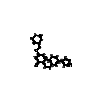 O=c1nc(OCC2COCCO2)cc2n1CCc1cc(-c3cn[nH]c3)ccc1-2